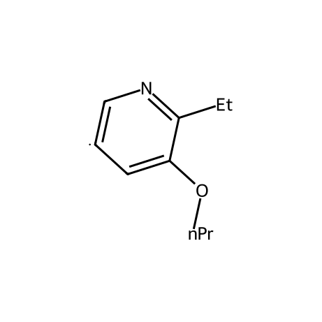 CCCOc1c[c]cnc1CC